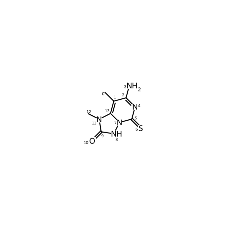 Cc1c(N)nc(=S)n2[nH]c(=O)n(C)c12